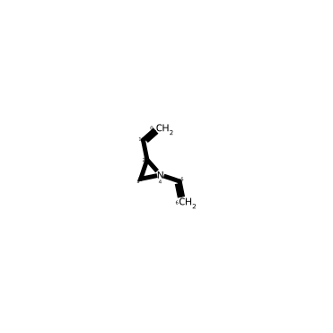 C=CC1CN1C=C